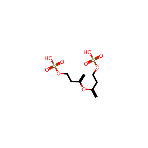 C=C(CCOS(=O)(=O)O)OC(=C)CCOS(=O)(=O)O